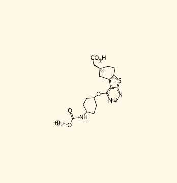 CC(C)(C)OC(=O)NC1CCC(Oc2ncnc3sc4c(c23)C[C@@H](CC(=O)O)CC4)CC1